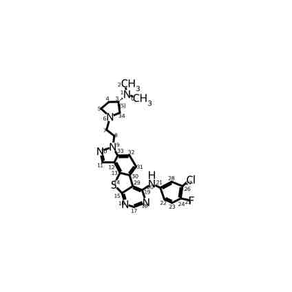 CN(C)[C@H]1CCN(CCn2ncc3c4sc5ncnc(Nc6ccc(F)c(Cl)c6)c5c4ccc32)C1